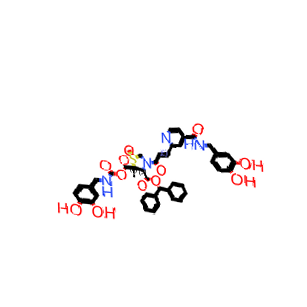 C[C@]1(COC(=O)NCc2ccc(O)c(O)c2)[C@H](C(=O)OC(c2ccccc2)c2ccccc2)N(C(=O)/C=C/c2cc(C(=O)NCc3ccc(O)c(O)c3)ccn2)CS1(=O)=O